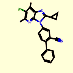 Cc1nc2c(nc(C3CC3)n2-c2ccc(-c3ccccc3)c(C#N)c2)c(C)c1Br